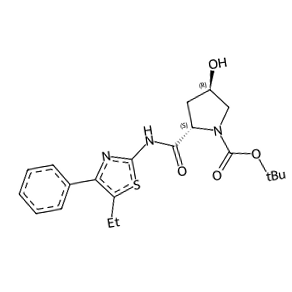 CCc1sc(NC(=O)[C@@H]2C[C@@H](O)CN2C(=O)OC(C)(C)C)nc1-c1ccccc1